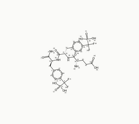 NC(=O)[C@H](Cc1ccc(C(F)(F)P(=O)(O)O)cc1)NC(=O)[C@H](Cc1ccc(C(F)(F)P(=O)(O)O)cc1)NC(=O)[C@@H](N)CCC(=O)O